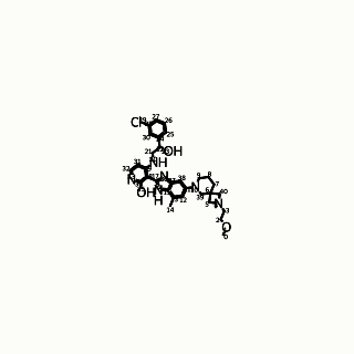 COCCN1CC2(CCCN(c3cc(C)c4[nH]c(-c5c(NC[C@H](O)c6cccc(Cl)c6)ccnc5O)nc4c3)C2)C1